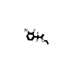 C=C(OCC)C(F)(F)c1cccc(Br)c1F